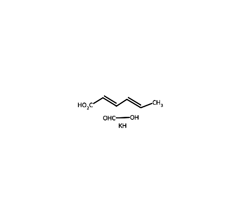 C/C=C/C=C/C(=O)O.O=CO.[KH]